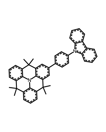 CC1(C)c2cccc3c2N2c4c1cccc4C(C)(C)c1cc(-c4ccc(-n5c6ccccc6c6ccccc65)cc4)cc(c12)C3(C)C